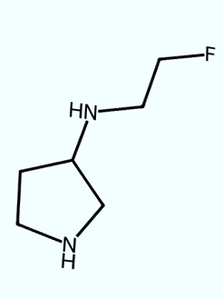 FCCNC1CCNC1